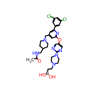 CC(=O)NCC1CCN(Cc2cc(Oc3cnc(N4CCN(CCB(O)O)CC4)nc3)nc(-c3cc(Cl)cc(Cl)c3)c2)CC1